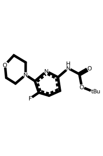 CC(C)(C)OC(=O)Nc1ccc(F)c(N2CCOCC2)n1